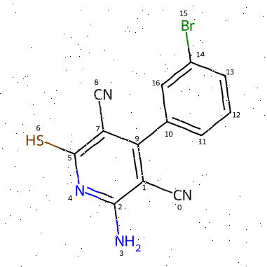 N#Cc1c(N)nc(S)c(C#N)c1-c1cccc(Br)c1